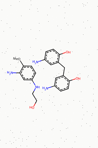 COc1ccc(NCCO)cc1N.Nc1ccc(O)c(Cc2cc(N)ccc2O)c1